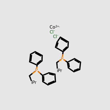 CC(C)CP(c1ccccc1)c1ccccc1.CC(C)CP(c1ccccc1)c1ccccc1.[Cl-].[Cl-].[Co+2]